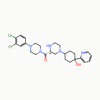 O=C([C@H]1CN(C2CCC(O)(c3ccccn3)CC2)CCN1)N1CCN(c2ccc(Cl)c(Cl)c2)CC1